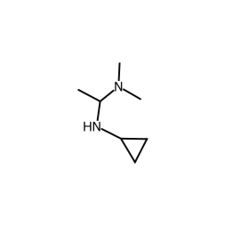 CC(NC1CC1)N(C)C